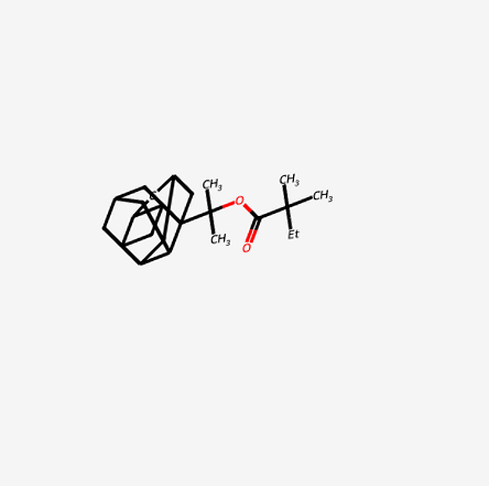 CCC(C)(C)C(=O)OC(C)(C)C12CC3CC4C1CC1CC45CC2(C1)C5C3